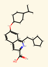 CC(C)C1CCC(Oc2ccc3cc(C(=O)O)nc(CC4CCCC4)c3c2)CC1